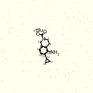 CC(C)(C)OC(=O)N1CCc2c(ccc(C3CC3)c2N)C1